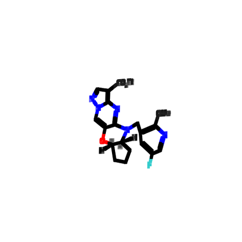 CCOC(=O)c1cnn2cc3c(nc12)N(Cc1cc(F)cnc1OC)[C@@H]1CCC[C@@H]1O3